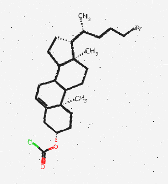 CC(C)CCC[C@@H](C)[C@H]1CCC2C3CC=C4C[C@@H](OC(=O)Cl)CC[C@]4(C)C3CC[C@@]21C